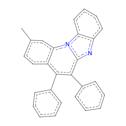 Cc1ccc2c(-c3ccccc3)c(-c3ccccc3)c3nc4ccccc4n3c2c1